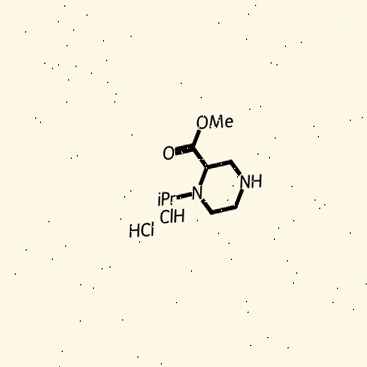 COC(=O)C1CNCCN1C(C)C.Cl.Cl